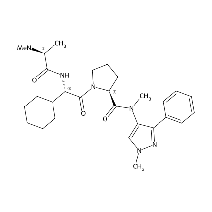 CN[C@@H](C)C(=O)N[C@H](C(=O)N1CCC[C@H]1C(=O)N(C)c1cn(C)nc1-c1ccccc1)C1CCCCC1